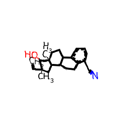 C=C[C@]1(C)CC2C3CCc4c(C#N)cccc4C3CC[C@]2(C)[C@H]1O